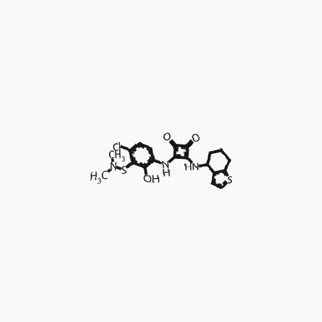 CN(C)Sc1c(Cl)ccc(Nc2c(NC3CCCc4sccc43)c(=O)c2=O)c1O